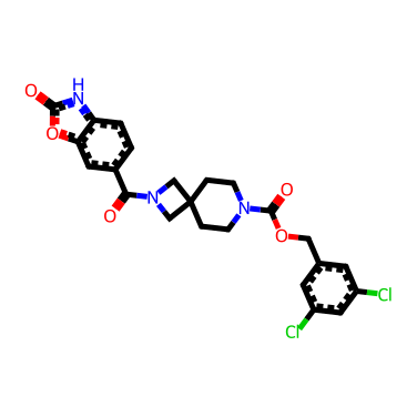 O=C(OCc1cc(Cl)cc(Cl)c1)N1CCC2(CC1)CN(C(=O)c1ccc3[nH]c(=O)oc3c1)C2